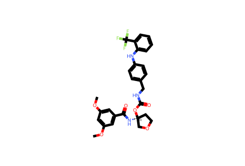 COc1cc(OC)cc(C(=O)N[C@]2(OC(=O)NCc3ccc(Nc4ccccc4C(F)(F)F)cc3)CCOC2)c1